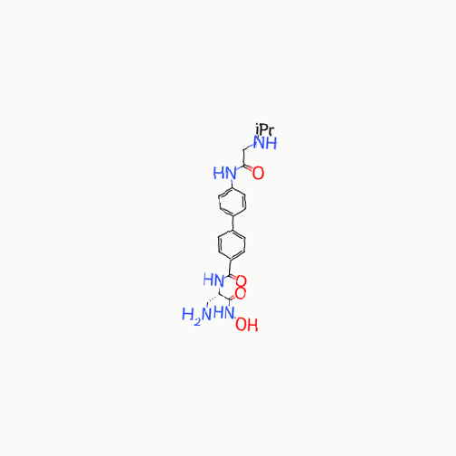 CC(C)NCC(=O)Nc1ccc(-c2ccc(C(=O)N[C@@H](CN)C(=O)NO)cc2)cc1